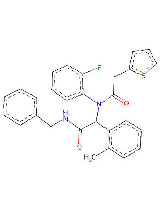 Cc1ccccc1C(C(=O)NCc1ccccc1)N(C(=O)Cc1cccs1)c1ccccc1F